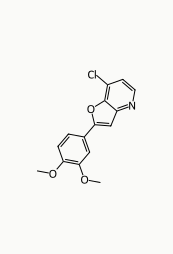 COc1ccc(-c2cc3nccc(Cl)c3o2)cc1OC